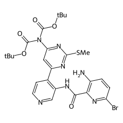 CSc1nc(-c2ccncc2NC(=O)c2nc(Br)ccc2N)cc(N(C(=O)OC(C)(C)C)C(=O)OC(C)(C)C)n1